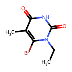 CCn1c(Br)c(C)c(=O)[nH]c1=O